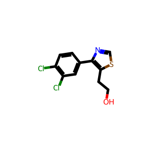 OCCc1scnc1-c1ccc(Cl)c(Cl)c1